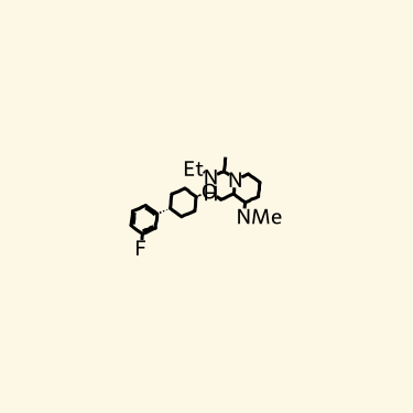 CCNC(C)N1CCCC(NC)C1CO[C@H]1CC[C@@H](c2cccc(F)c2)CC1